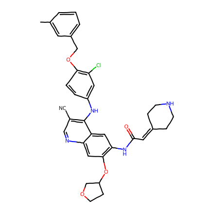 Cc1cccc(COc2ccc(Nc3c(C#N)cnc4cc(OC5CCOC5)c(NC(=O)C=C5CCNCC5)cc34)cc2Cl)c1